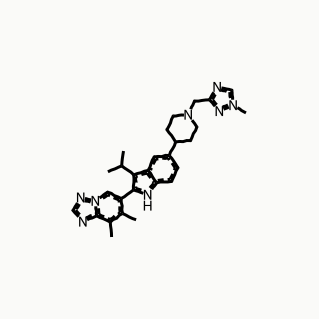 Cc1c(-c2[nH]c3ccc(C4CCN(Cc5ncn(C)n5)CC4)cc3c2C(C)C)cn2ncnc2c1C